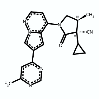 C[C@@H]1CN(c2ccnn3cc(-c4cc(C(F)(F)F)ncn4)cc23)C(=O)[C@]1(C#N)C1CC1